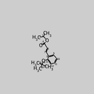 CC(C)OC(=O)C=Cc1ccccc1OC(C)(C)C